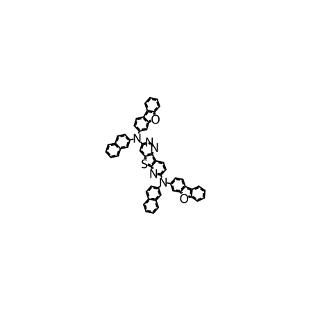 c1ccc2cc(N(c3ccc4c(c3)oc3ccccc34)c3cc4sc5nc(N(c6ccc7ccccc7c6)c6ccc7c(c6)oc6ccccc67)ccc5c4nn3)ccc2c1